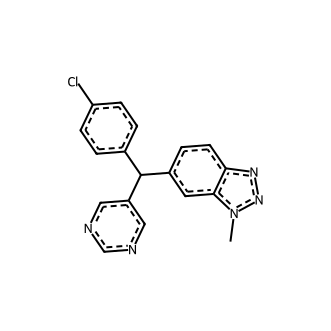 Cn1nnc2ccc(C(c3ccc(Cl)cc3)c3cncnc3)cc21